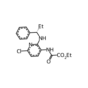 CCOC(=O)C(=O)Nc1ccc(Cl)nc1N[C@@H](CC)c1ccccc1